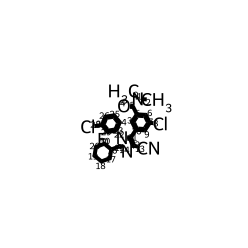 CN(C)C(=O)c1cc(Cl)cc(-c2c(C#N)nc(C3CCCCC3)n2-c2cccc(Cl)c2F)c1